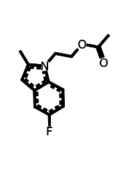 CC(=O)OCCn1c(C)cc2cc(F)ccc21